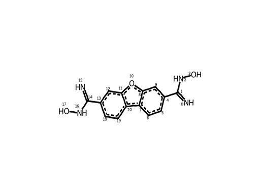 N=C(NO)c1ccc2c(c1)oc1cc(C(=N)NO)ccc12